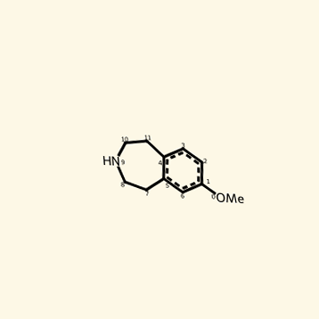 COc1ccc2c(c1)CCNCC2